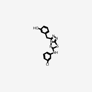 Oc1cccc(Cc2nnc3sc(Nc4cccc(Cl)c4)nn23)c1